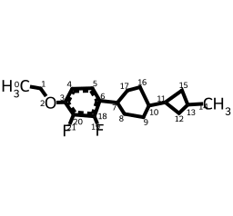 CCOc1ccc(C2CCC(C3CC(C)C3)CC2)c(F)c1F